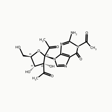 CC(=O)n1c(N)nc2c(ncn2[C@]2(C(C)=O)O[C@H](CO)[C@@H](O)[C@]2(O)C(C)=O)c1=O